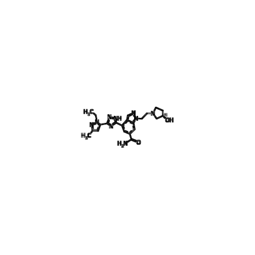 CCn1nc(C)cc1-c1n[nH]c(-c2cc(C(N)=O)cc3c2cnn3CCN2CC[C@@H](O)C2)n1